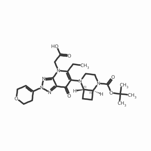 CCc1c(N2CCN(C(=O)OC(C)(C)C)[C@H]3CC[C@@H]32)c(=O)c2nn(C3=CCOCC3)nc2n1CC(=O)O